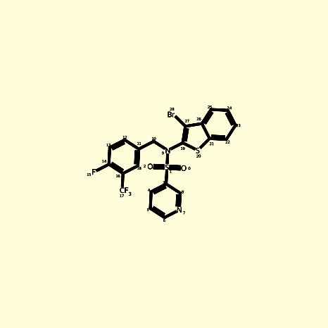 O=S(=O)(c1cccnc1)N(Cc1ccc(F)c(C(F)(F)F)c1)c1sc2ccccc2c1Br